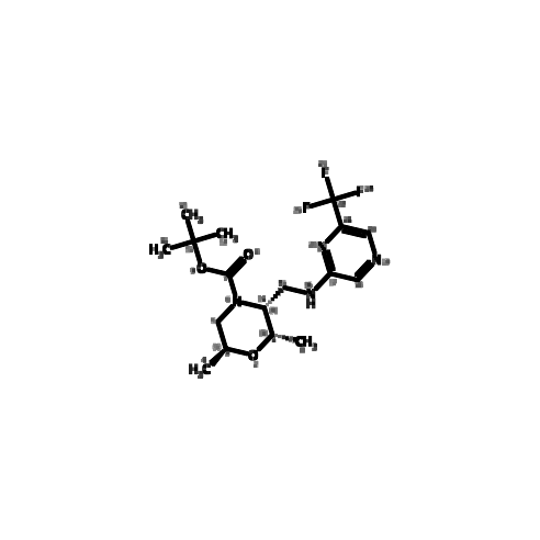 C[C@@H]1O[C@@H](C)CN(C(=O)OC(C)(C)C)[C@@H]1CNc1cncc(C(F)(F)F)n1